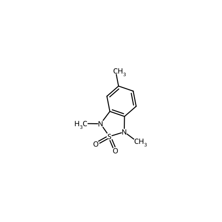 Cc1ccc2c(c1)N(C)S(=O)(=O)N2C